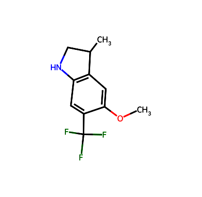 COc1cc2c(cc1C(F)(F)F)NCC2C